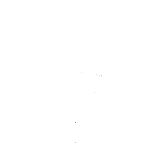 COc1ccc(S(=O)(=O)Nc2ccc(OC(F)F)cc2)cc1N1CCNCC1